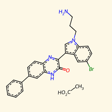 CC(=O)O.NCCCn1cc(-c2nc3ccc(-c4ccccc4)cc3[nH]c2=O)c2cc(Br)ccc21